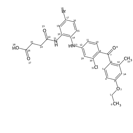 CCOc1ccc(C(=O)c2ccc(Nc3ccc(Br)cc3NC(=O)CCC(=O)O)cc2Cl)c(C)c1